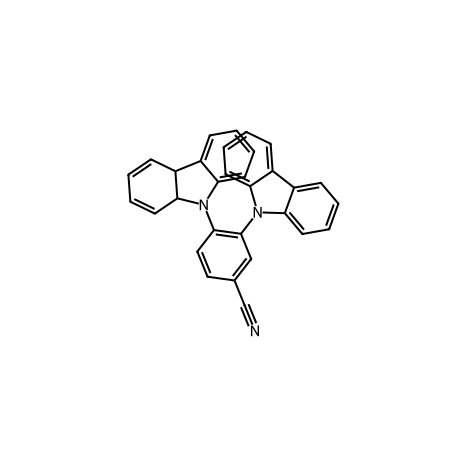 N#Cc1ccc(N2c3ccccc3C3C=CC=CC32)c(-n2c3ccccc3c3ccccc32)c1